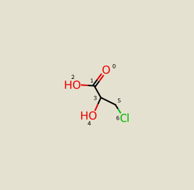 O=C(O)C(O)CCl